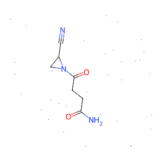 N#CC1CN1C(=O)CCC(N)=O